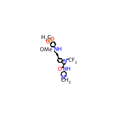 COc1cc(S(C)(=O)=O)ccc1NCC#Cc1ccc2c(C(=O)NC3CCN(C)CC3)cn(CC(F)(F)F)c2c1